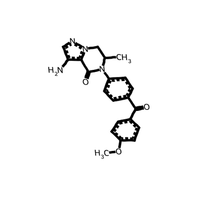 COc1ccc(C(=O)c2ccc(N3C(=O)c4c(N)cnn4CC3C)cc2)cc1